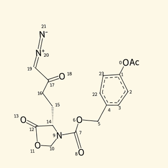 CC(=O)Oc1ccc(COC(=O)N2COC(=O)[C@@H]2CCC(=O)C=[N+]=[N-])cc1